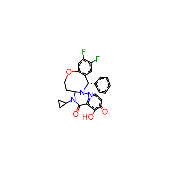 O=C1c2c(O)c(=O)ccn2N2C(CCOc3cc(F)c(F)cc3[C@@H]2c2ccccc2)N1C1CC1